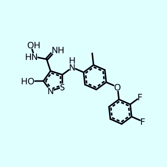 Cc1cc(Oc2cccc(F)c2F)ccc1Nc1snc(O)c1C(=N)NO